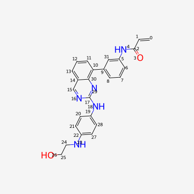 C=CC(=O)Nc1cccc(-c2cccc3cnc(Nc4ccc(NCCO)cc4)nc23)c1